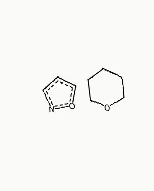 C1CCOCC1.c1cnoc1